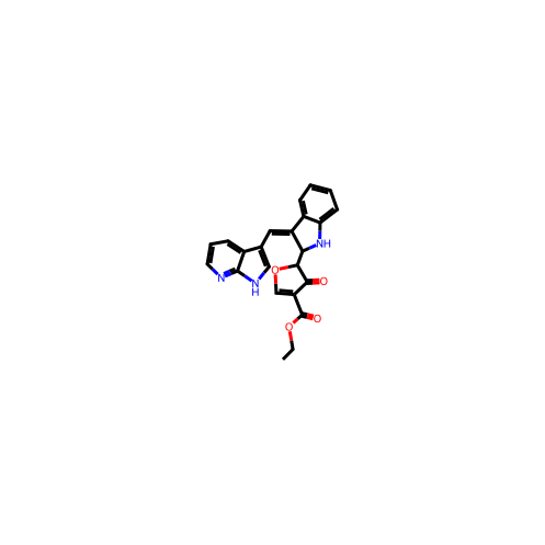 CCOC(=O)C1=COC(C2Nc3ccccc3/C2=C/c2c[nH]c3ncccc23)C1=O